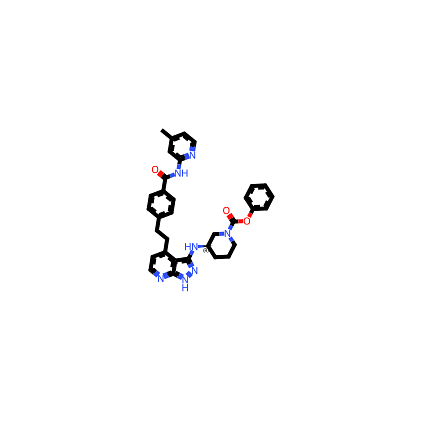 Cc1ccnc(NC(=O)c2ccc(CCc3ccnc4[nH]nc(N[C@@H]5CCCN(C(=O)Oc6ccccc6)C5)c34)cc2)c1